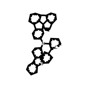 c1ccc(-c2ccccc2N(c2ccc3c(c2)C24c5ccccc5-c5cccc(c52)-c2cccc-3c24)c2ccc3c(c2)sc2ccccc23)cc1